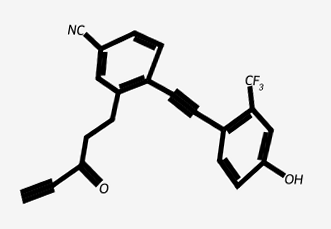 C#CC(=O)CCc1cc(C#N)ccc1C#Cc1ccc(O)cc1C(F)(F)F